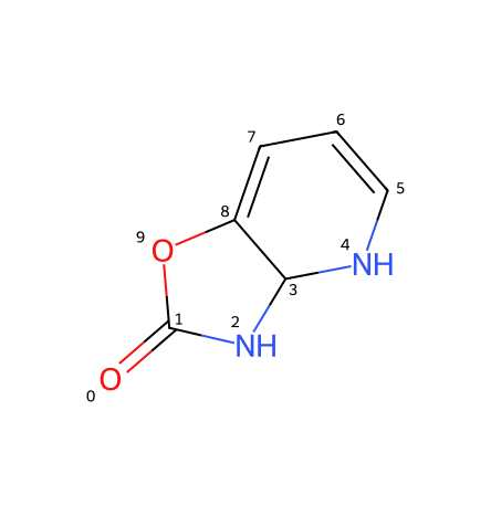 O=C1NC2NC=CC=C2O1